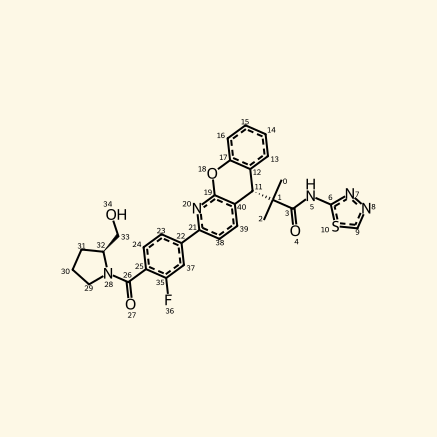 CC(C)(C(=O)Nc1nncs1)[C@H]1c2ccccc2Oc2nc(-c3ccc(C(=O)N4CCC[C@H]4CO)c(F)c3)ccc21